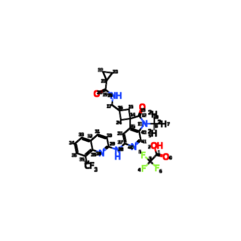 O=C(O)C(F)(F)F.[2H]C([2H])([2H])N1C(=O)C2(CC(CNC(=O)C3CC3)C2)c2cc(Nc3ccc4cccc(C(F)(F)F)c4n3)ncc21